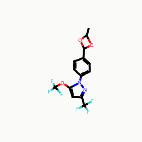 CC1OC(c2ccc(-n3nc(C(F)(F)F)cc3OC(F)(F)F)cc2)O1